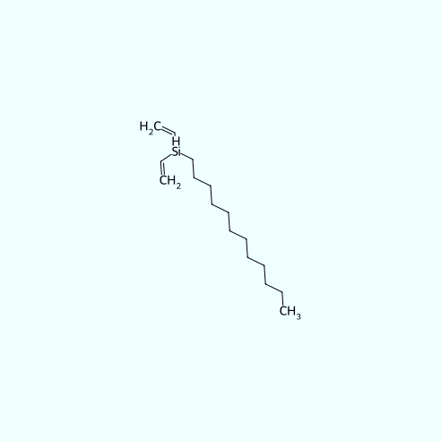 C=C[SiH](C=C)CCCCCCCCCCCC